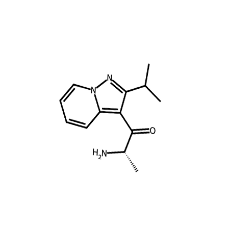 CC(C)c1nn2ccccc2c1C(=O)[C@H](C)N